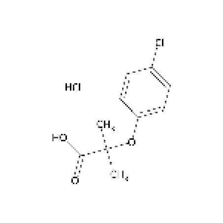 CC(C)(Oc1ccc(Cl)cc1)C(=O)O.Cl